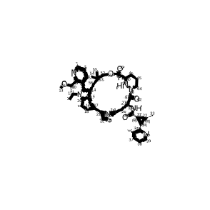 CCn1c(-c2cccnc2[C@H](C)OC)c2c3cc(ccc31)-c1csc(n1)C[C@H](NC(=O)[C@@H]1[C@H](C)[C@@H]1c1ccccn1)C(=O)N1CCC[C@H](N1)C(=O)OCC(C)(C)C2